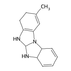 CC1=CC2=C(CC1)NC1NC3C=CC=CC3N21